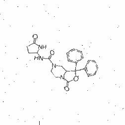 O=C1CCC(NC(=O)N2CCN3C(=O)OC(c4ccccc4)(c4ccccc4)C3C2)N1